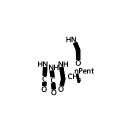 C.CCCCCC.N=C=O.N=C=O.N=C=O.N=C=O